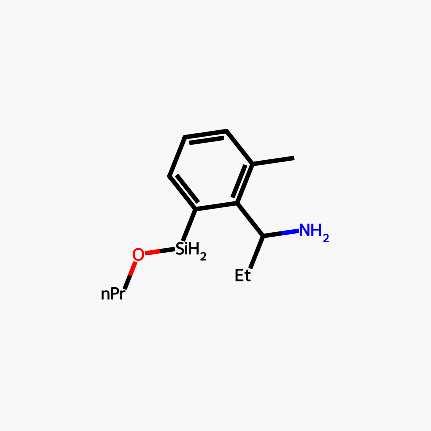 CCCO[SiH2]c1cccc(C)c1C(N)CC